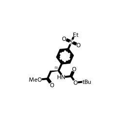 CCS(=O)(=O)c1ccc([C@H](CC(=O)OC)NC(=O)OC(C)(C)C)cc1